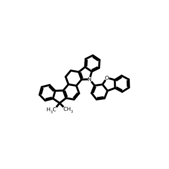 CC1(C)C2=C(c3ccccc31)C1CCc3c(n(C4=CC=CC5c6ccccc6OC45)c4ccccc34)C1C=C2